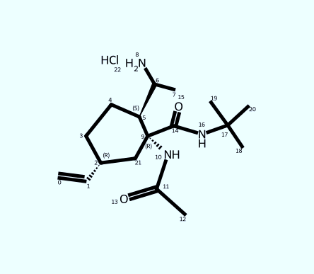 C=C[C@@H]1CC[C@@H](C(C)N)[C@@](NC(C)=O)(C(=O)NC(C)(C)C)C1.Cl